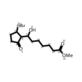 CCCCC1CCC(=O)C1C(O)CCCCCC(=O)OC